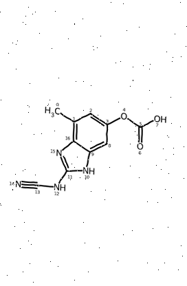 Cc1cc(OC(=O)O)cc2[nH]c(NC#N)nc12